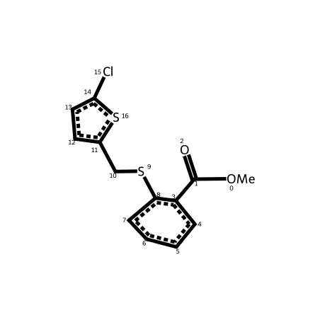 COC(=O)c1ccccc1SCc1ccc(Cl)s1